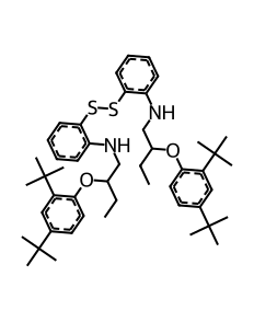 CCC(CNc1ccccc1SSc1ccccc1NCC(CC)Oc1ccc(C(C)(C)C)cc1C(C)(C)C)Oc1ccc(C(C)(C)C)cc1C(C)(C)C